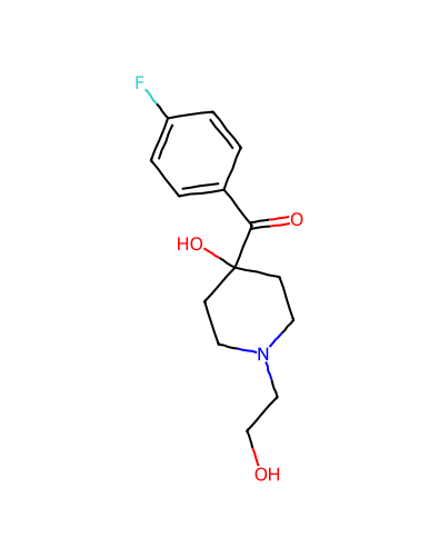 O=C(c1ccc(F)cc1)C1(O)CCN(CCO)CC1